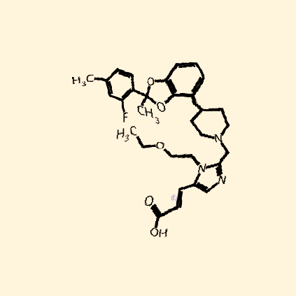 CCOCCn1c(/C=C/C(=O)O)cnc1CN1CCC(c2cccc3c2OC(C)(c2ccc(C)cc2F)O3)CC1